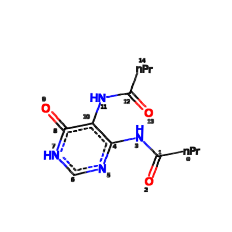 CCCC(=O)Nc1nc[nH]c(=O)c1NC(=O)CCC